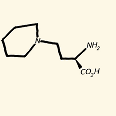 N[C@H](CCN1CCCCC1)C(=O)O